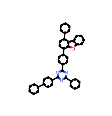 c1ccc(-c2ccc(-c3nc(-c4ccccc4)nc(-c4ccc(-c5ccc(-c6ccccc6)c6c5oc5ccccc56)cc4)n3)cc2)cc1